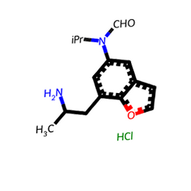 CC(N)Cc1cc(N(C=O)C(C)C)cc2ccoc12.Cl